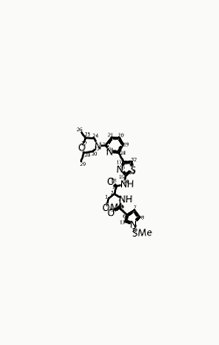 COCC(NC(=O)c1ccn(SC)c1)C(=O)Nc1nc(-c2cccc(N3CC(C)OC(C)C3)n2)cs1